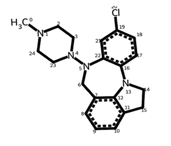 CN1CCN(N2Cc3cccc4c3N(CC4)c3ccc(Cl)cc32)CC1